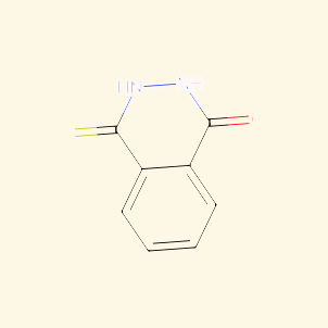 O=c1[nH][nH]c(=S)c2ccccc12